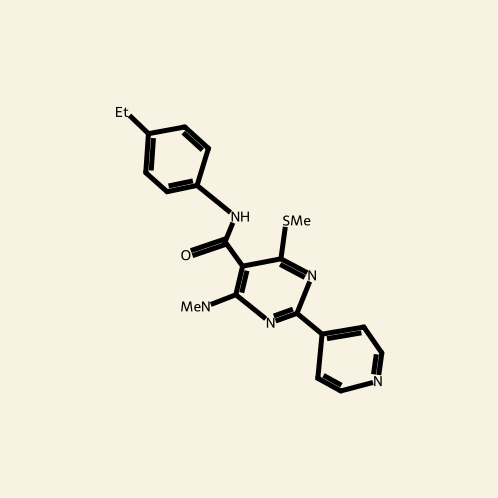 CCc1ccc(NC(=O)c2c(NC)nc(-c3ccncc3)nc2SC)cc1